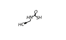 C#CCNC(=O)S